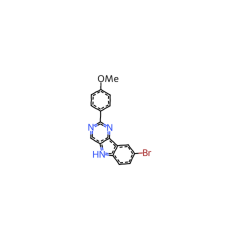 COc1ccc(-c2ncc3[nH]c4ccc(Br)cc4c3n2)cc1